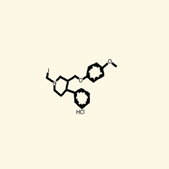 COc1ccc(OCC2CN(CI)CCC2c2ccccc2)cc1.Cl